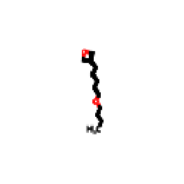 CCCCOCCCCCC1COC1